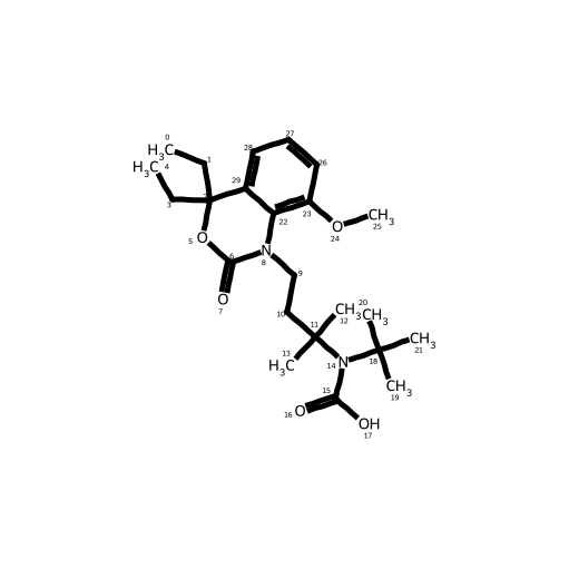 CCC1(CC)OC(=O)N(CCC(C)(C)N(C(=O)O)C(C)(C)C)c2c(OC)cccc21